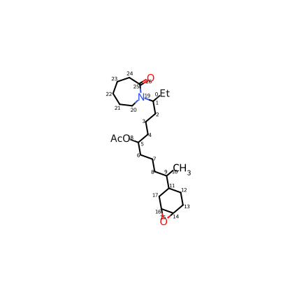 CCC(CCCC(CCCC(C)C1CCC2OC2C1)OC(C)=O)N1CCCCCC1=O